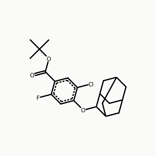 CC(C)(C)OC(=O)c1cc(Cl)c(OC2C3CC4CC(C3)CC2C4)cc1F